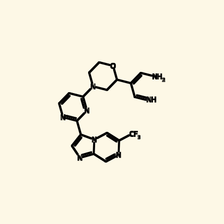 N=C/C(=C\N)C1CN(c2ccnc(-c3cnc4cnc(C(F)(F)F)cn34)n2)CCO1